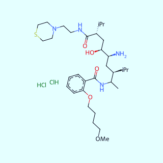 COCCCCOc1ccccc1C(=O)NC(C)[C@@H](C[C@H](N)[C@@H](O)C[C@H](C(=O)NCCN1CCSCC1)C(C)C)C(C)C.Cl.Cl